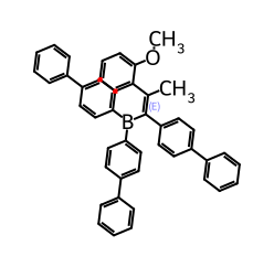 COc1ccccc1/C(C)=C(\B(c1ccc(-c2ccccc2)cc1)c1ccc(-c2ccccc2)cc1)c1ccc(-c2ccccc2)cc1